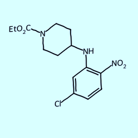 CCOC(=O)N1CCC(Nc2cc(Cl)ccc2[N+](=O)[O-])CC1